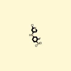 O=[N+]([O-])c1ccc(Nc2ccnc(Cl)c2)cc1F